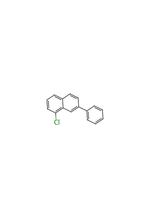 Clc1cccc2ccc(-c3ccccc3)cc12